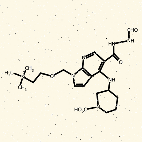 C[Si](C)(C)CCOCn1ccc2c(NC3CCCN(C(=O)O)C3)c(C(=O)NNC=O)cnc21